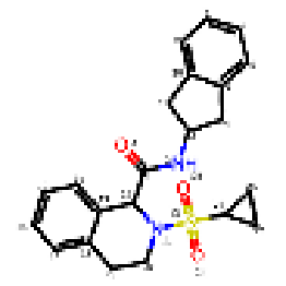 O=C(NC1Cc2ccccc2C1)C1c2ccccc2CCN1S(=O)(=O)C1CC1